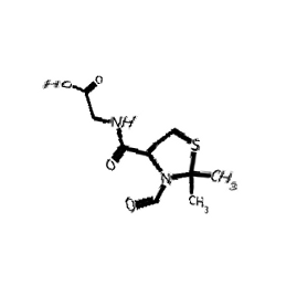 CC1(C)SCC(C(=O)NCC(=O)O)N1C=O